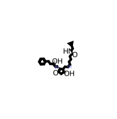 O=C(CCC/C=C\CC1[C@@H](O)CC(=O)[C@@H]1/C=C/[C@@H](O)CCc1ccccc1)NCC1CC1